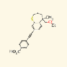 CCOCC1(C)CCCSc2cc(C#Cc3ccc(C(=O)O)cc3)ccc21